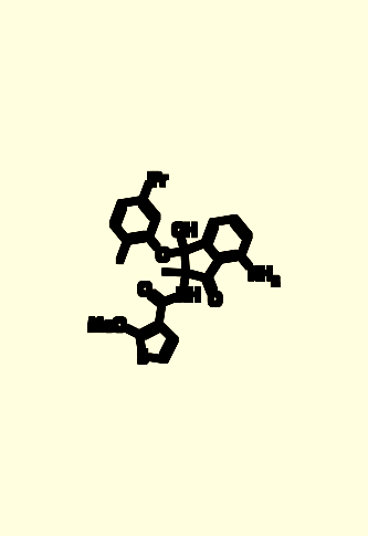 COc1sccc1C(=O)NC1(C)C(=O)c2c(N)cccc2C1(O)Oc1cc(C(C)C)ccc1C